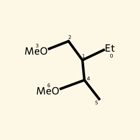 CCC(COC)C(C)OC